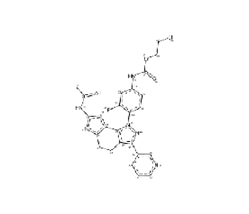 CC(=O)Nc1nc2c(s1)-c1c(c(-c3cccnc3)nn1-c1ccc(NC(=O)OCCCl)cc1F)CC2